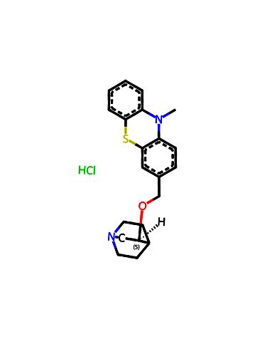 CN1c2ccccc2Sc2cc(CO[C@@H]3CN4CCC3CC4)ccc21.Cl